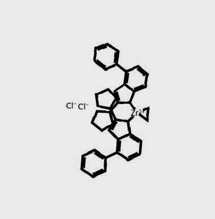 C1=C(C2CCCC2)[CH]([Zr+2]2([CH]3C(C4CCCC4)=Cc4c(-c5ccccc5)cccc43)[CH2][CH2]2)c2cccc(-c3ccccc3)c21.[Cl-].[Cl-]